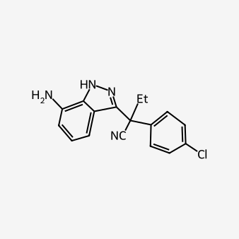 CCC(C#N)(c1ccc(Cl)cc1)c1n[nH]c2c(N)cccc12